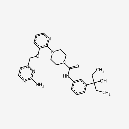 CCC(O)(CC)c1cccc(NC(=O)N2CCN(c3ncccc3OCc3ccnc(N)n3)CC2)c1